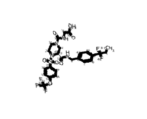 CCC(F)(F)c1ccc(CNC(=O)[C@H]2CN(C(=O)NCC(=O)O)CCN2S(=O)(=O)c2ccc(OC(F)(F)F)cc2)cc1